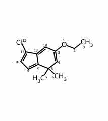 CCOC1=CC(C)(C)C2=CC=C(Cl)C2=C1